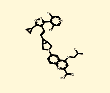 O=C(O)c1cc(OCC(F)F)c2cc(N3CC4C(C=Cc5c(-c6c(Cl)cncc6Cl)noc5C5CC5)C4C3)ccc2n1